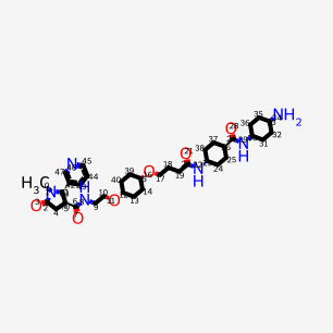 CN1C(=O)C[C@H](C(=O)NCCO[C@H]2CC[C@H](OCCCC(=O)N[C@H]3CC[C@H](C(=O)NC4CCC(N)CC4)CC3)CC2)[C@H]1c1cccnc1